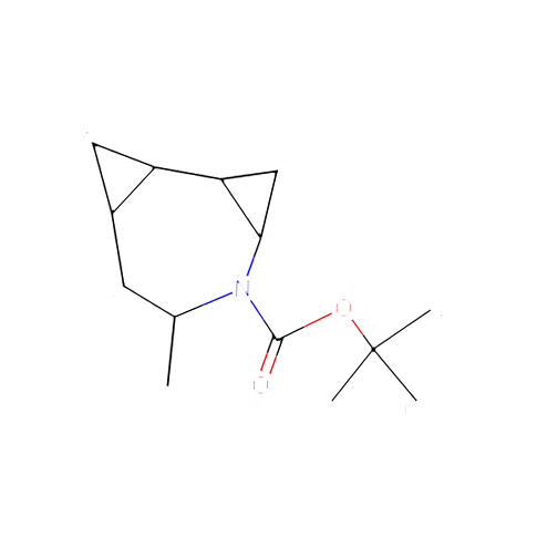 CC1CC2CC2C2CC2N1C(=O)OC(C)(C)C